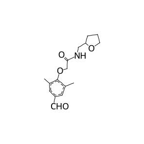 Cc1cc(C=O)cc(C)c1OCC(=O)NCC1CCCO1